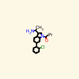 CC(C)C(=O)n1cc(C(C)N)c2ccc(-c3ccccc3Cl)cc21